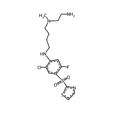 CN(CCN)CCCCNc1cc(F)c(S(=O)(=O)c2nccs2)cc1Cl